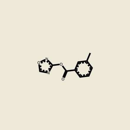 Cc1cccc(C(=O)Oc2ncon2)c1